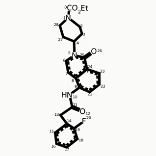 CCOC(=O)N1CCC(n2ccc3c(NC(=O)Cc4ccccc4F)cccc3c2=O)CC1